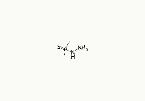 CP(C)(=S)NN